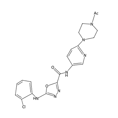 CC(=O)N1CCN(c2ccc(NC(=O)c3nnc(Nc4ccccc4Cl)o3)cn2)CC1